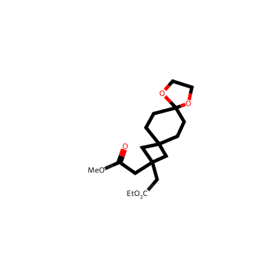 CCOC(=O)CC1(CC(=O)OC)CC2(CCC3(CC2)OCCO3)C1